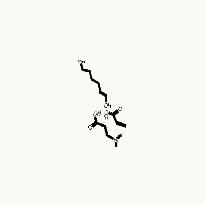 C=CC(=O)O.CN(C)CCC(=O)O.OCCCCCCO